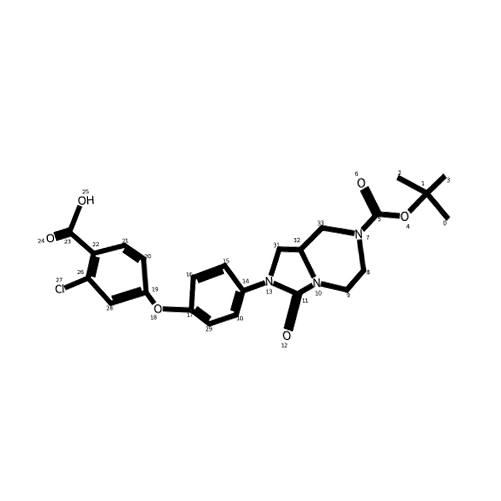 CC(C)(C)OC(=O)N1CCN2C(=O)N(c3ccc(Oc4ccc(C(=O)O)c(Cl)c4)cc3)CC2C1